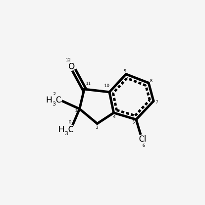 CC1(C)Cc2c(Cl)cccc2C1=O